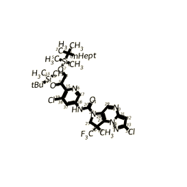 CCCCCCCC(C)(C)[Si](C)(C)OCC(O[Si](C)(C)C(C)(C)C)c1ncc(NC(=O)N2C[C@@](C)(C(F)(F)F)c3c2cnc2cc(Cl)nn32)cc1Cl